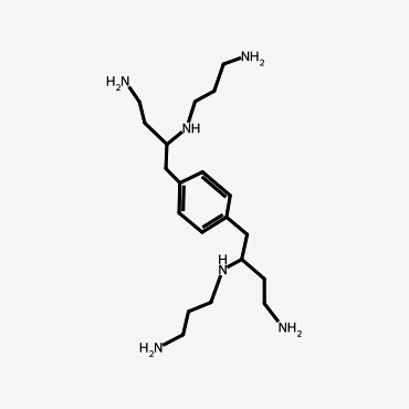 NCCCNC(CCN)Cc1ccc(CC(CCN)NCCCN)cc1